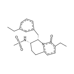 CCc1cccc(C[C@H]2[C@@H](NS(C)(=O)=O)CCc3ccc(CC)c(=O)n32)c1